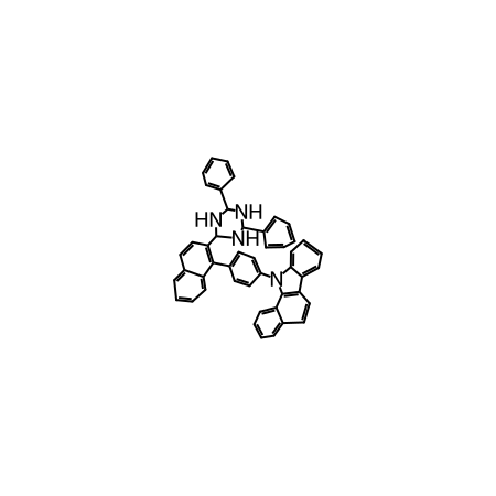 c1ccc(C2NC(c3ccccc3)NC(c3ccc4ccccc4c3-c3ccc(-n4c5ccccc5c5ccc6ccccc6c54)cc3)N2)cc1